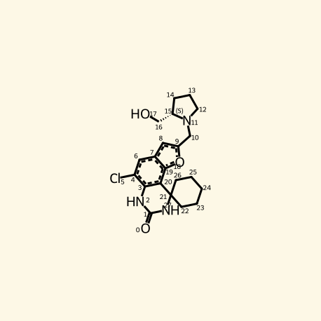 O=C1Nc2c(Cl)cc3cc(CN4CCC[C@H]4CO)oc3c2C2(CCCCC2)N1